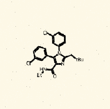 CCNC(=O)c1nc(CC(C)(C)C)n(-c2cccc(Cl)c2)c1-c1cccc(Cl)c1